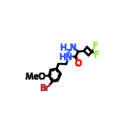 COc1cc(CCNC(=O)C(N)C2CC(F)(F)C2)ccc1Br